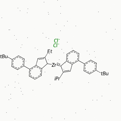 CCC1=Cc2c(-c3ccc(C(C)(C)C)cc3)cccc2[CH]1[Zr+2][CH]1C(C(C)C)=Cc2c(-c3ccc(C(C)(C)C)cc3)cccc21.[Cl-].[Cl-]